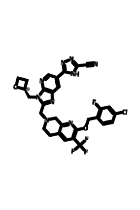 N#Cc1nnc(-c2cnc3c(c2)nc(CN2CCc4cc(C(F)(F)F)c(OCc5ccc(Cl)cc5F)nc4C2)n3C[C@@H]2CCO2)[nH]1